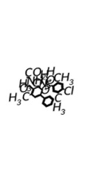 CC1=C(C(=O)NCC(=O)O)C(C)(NS(=O)(=O)c2cc(C)c(Cl)cc2C)CC(c2ccccc2)=C1